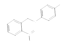 O=[N+]([O-])c1ccccc1CNc1ccc(Cl)cc1